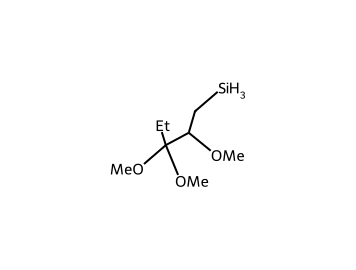 CCC(OC)(OC)C(C[SiH3])OC